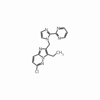 CCc1c(Cn2ccnc2-c2ncccn2)nc2ccc(Cl)nn12